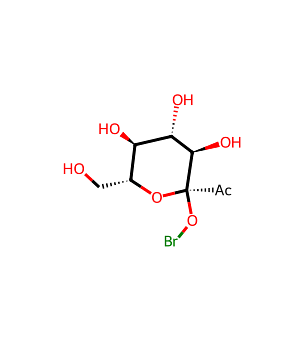 CC(=O)[C@]1(OBr)O[C@H](CO)[C@@H](O)[C@H](O)[C@H]1O